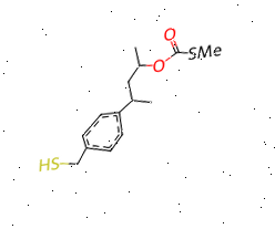 CSC(=O)OC(C)CC(C)c1ccc(CS)cc1